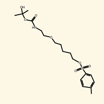 Cc1ccc(S(=O)(=O)OCCCCCOCCNC(=O)OC(C)(C)O)cc1